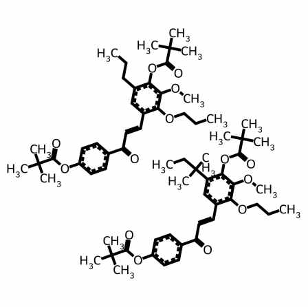 CCCOc1c(C=CC(=O)c2ccc(OC(=O)C(C)(C)C)cc2)cc(C(C)(C)CC)c(OC(=O)C(C)(C)C)c1OC.CCCOc1c(C=CC(=O)c2ccc(OC(=O)C(C)(C)C)cc2)cc(CCC)c(OC(=O)C(C)(C)C)c1OC